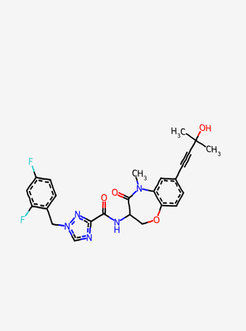 CN1C(=O)C(NC(=O)c2ncn(Cc3ccc(F)cc3F)n2)COc2ccc(C#CC(C)(C)O)cc21